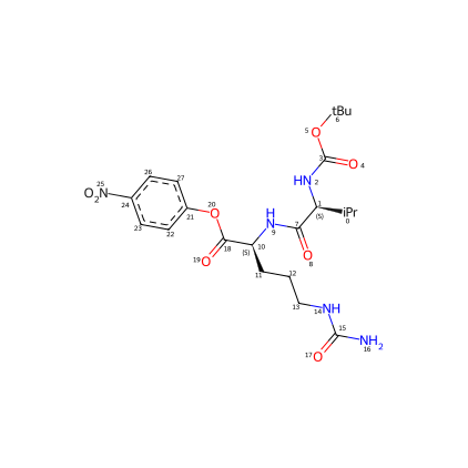 CC(C)[C@H](NC(=O)OC(C)(C)C)C(=O)N[C@@H](CCCNC(N)=O)C(=O)Oc1ccc([N+](=O)[O-])cc1